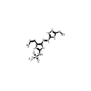 CCSc1nnc(/N=N/c2sc(NS(=O)(=O)C(F)(F)F)nc2/C=C\C(C)=O)s1